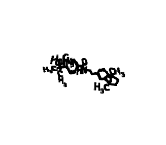 CN/C=C(\C=C/CC(C)(C)C)C(=O)NCCC1=CC2C(C=C1)C1(C)CCC2(C)O1